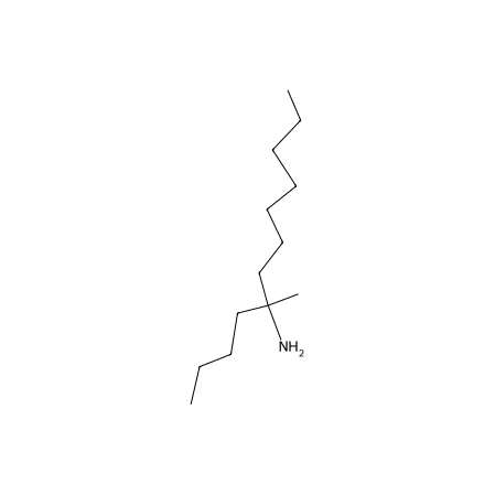 CCCCCCCC(C)(N)CCCC